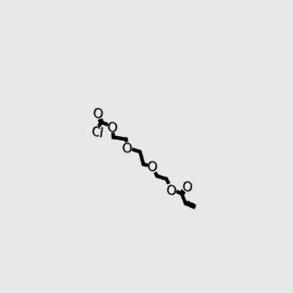 C=CC(=O)OCCOCCOCCOC(=O)Cl